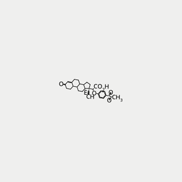 C#C[C@]1(C(Oc2ccc(S(C)(=O)=O)cc2)C(=O)O)CCC2C3CCC4=CC(=O)CCC4C3CC[C@@]21CC